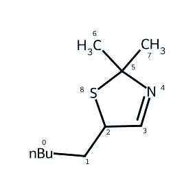 CCCCCC1C=NC(C)(C)S1